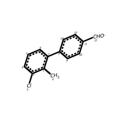 Cc1c(Cl)cccc1-c1ccc([C]=O)cc1